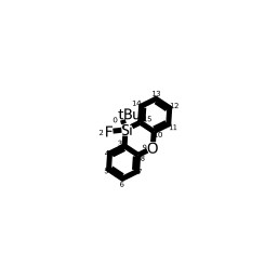 CC(C)(C)[Si]1(F)c2ccccc2Oc2ccccc21